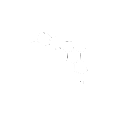 Cc1ccc(C)c(C=C2CCc3c2oc2cc(N)ccc2c3=O)c1